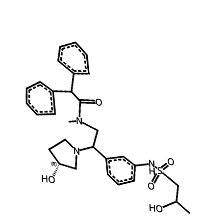 CC(O)CS(=O)(=O)Nc1cccc(C(CN(C)C(=O)C(c2ccccc2)c2ccccc2)N2CC[C@@H](O)C2)c1